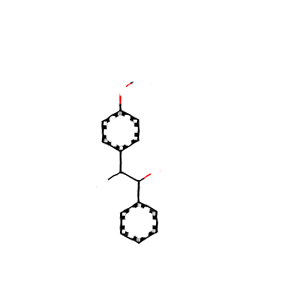 COc1ccc(C(C)C(O)c2ccccc2)cc1